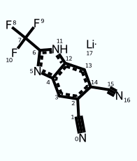 N#Cc1cc2nc(C(F)(F)F)[nH]c2cc1C#N.[Li]